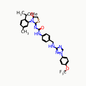 COC(C)c1ccc(C)cc1N1C(=O)CSC1=NC(=O)Nc1ccc(CNc2ncn(-c3ccc(OC(F)(F)F)cc3)n2)cc1